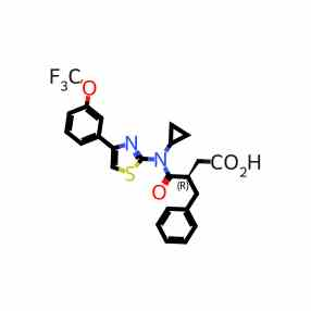 O=C(O)C[C@@H](Cc1ccccc1)C(=O)N(c1nc(-c2cccc(OC(F)(F)F)c2)cs1)C1CC1